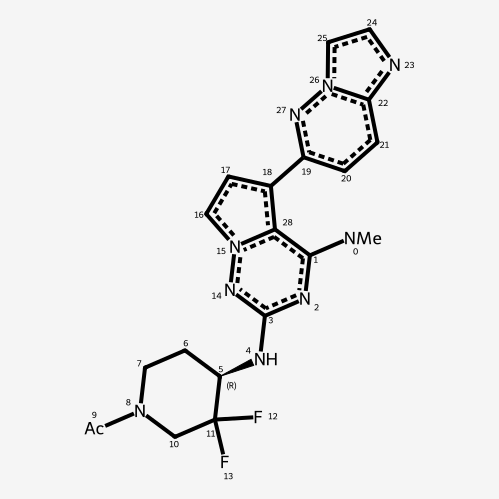 CNc1nc(N[C@@H]2CCN(C(C)=O)CC2(F)F)nn2ccc(-c3ccc4nccn4n3)c12